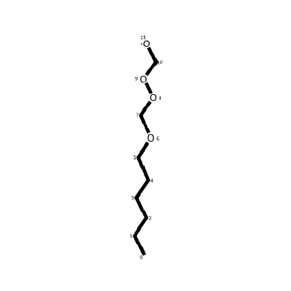 CCCCCCOCOOC[O]